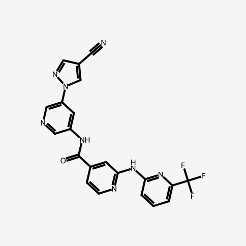 N#Cc1cnn(-c2cncc(NC(=O)c3ccnc(Nc4cccc(C(F)(F)F)n4)c3)c2)c1